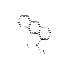 CN(C)c1cccc2cc3ccccc3cc12